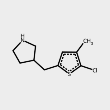 Cc1cc(CC2CCNC2)sc1Cl